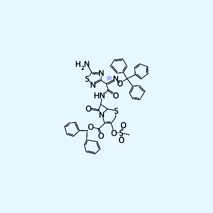 CS(=O)(=O)OC1=C(C(=O)OC(c2ccccc2)c2ccccc2)N2C(=O)C(NC(=O)/C(=N\OC(c3ccccc3)(c3ccccc3)c3ccccc3)c3nsc(N)n3)C2SC1